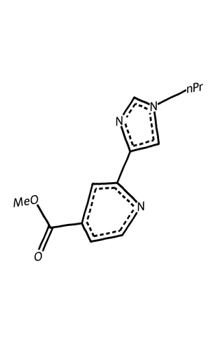 CCCn1cnc(-c2cc(C(=O)OC)ccn2)c1